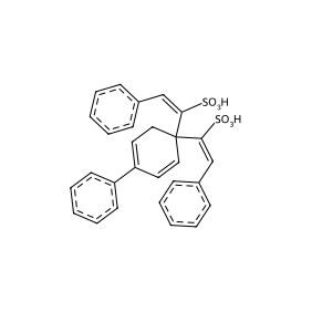 O=S(=O)(O)C(=Cc1ccccc1)C1(C(=Cc2ccccc2)S(=O)(=O)O)C=CC(c2ccccc2)=CC1